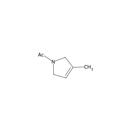 CC(=O)N1CC=C(C)C1